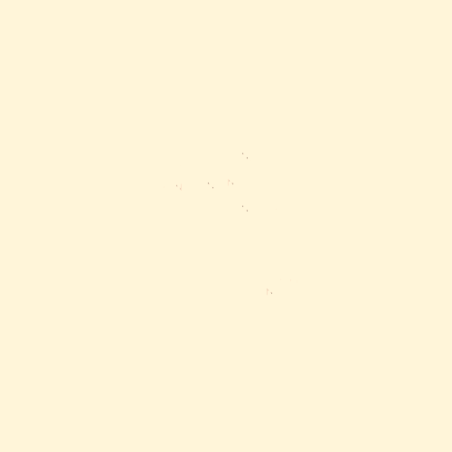 NS(=O)OCC1CCC(Nc2ccnc3cc(-c4ccccn4)nn23)C1